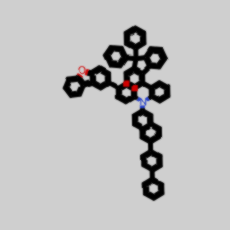 c1ccc(-c2ccc(-c3ccc4cc(N(c5ccc(-c6ccc7oc8ccccc8c7c6)cc5)c5ccccc5-c5cccc6c5-c5ccccc5C6(c5ccccc5)c5ccccc5)ccc4c3)cc2)cc1